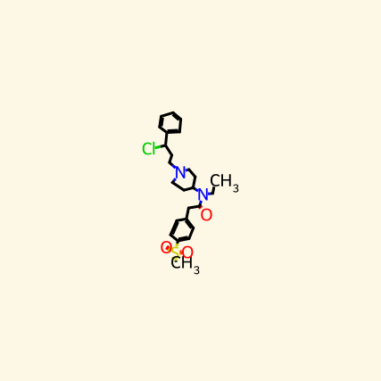 CCN(C(=O)Cc1ccc(S(C)(=O)=O)cc1)C1CCN(CCC(Cl)c2ccccc2)CC1